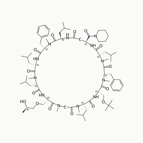 CC(C)C[C@@H]1NC(=O)[C@H](Cc2ccccc2)N(C)C(=O)[C@@H](CC(C)C)NC(=O)C[C@@H](C(=O)N2CCCCC2)NC(=O)[C@H](CC(C)C)N(C)C(=O)[C@H](Cc2ccccc2)N(C)C(=O)[C@H](COC(C)(C)C)NC(=O)[C@H](CC(C)C)N(C)C(=O)CN(C)C(=O)[C@H](COC[C@@H](C)O)NC(=O)[C@H](CC(C)C)N(C)C1=O